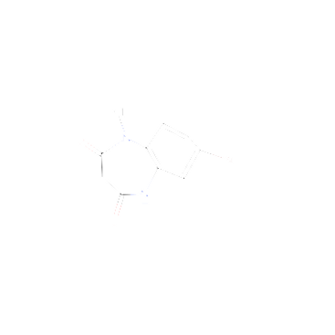 CN1C(=O)CC(=O)Nc2cc(Br)ccc21